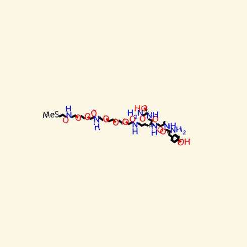 CSCCC(=O)NCCOCCOCC(=O)NCCOCCOCCOCC(=O)NCCCC[C@H](NCC(=O)C(C)NC(=O)[C@@H](N)Cc1ccc(O)cc1)C(=O)CN[C@@H](CO)C(N)=O